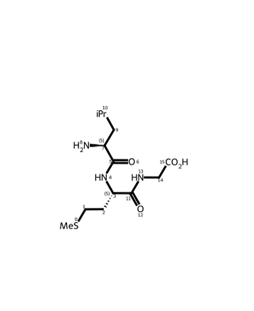 CSCC[C@H](NC(=O)[C@@H](N)CC(C)C)C(=O)NCC(=O)O